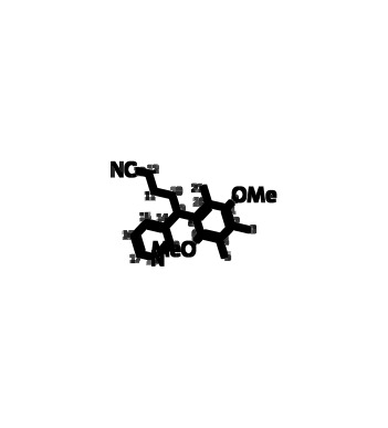 COc1c(C)c(C)c(OC)c(C(CCCC#N)c2cccnc2)c1C